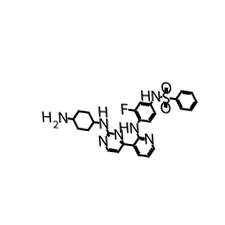 NC1CCC(Nc2nccc(-c3cccnc3Nc3ccc(NS(=O)(=O)c4ccccc4)cc3F)n2)CC1